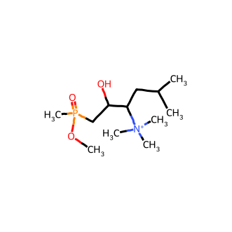 COP(C)(=O)CC(O)C(CC(C)C)[N+](C)(C)C